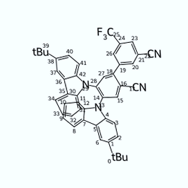 CC(C)(C)c1ccc2c(c1)c1ccccc1n2-c1cc(C#N)c(-c2cc(C#N)cc(C(F)(F)F)c2)cc1-n1c2ccccc2c2cc(C(C)(C)C)ccc21